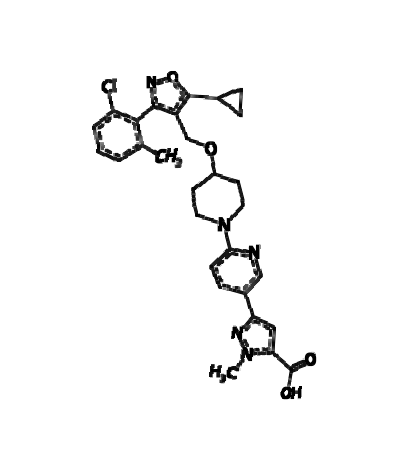 Cc1cccc(Cl)c1-c1noc(C2CC2)c1COC1CCN(c2ccc(-c3cc(C(=O)O)n(C)n3)cn2)CC1